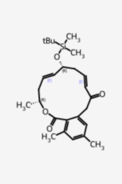 Cc1cc(C)c2c(c1)CC(=O)/C=C/C[C@@H](O[Si](C)(C)C(C)(C)C)/C=C/C[C@@H](C)OC2=O